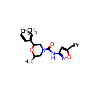 C/C=C\C(=C/C)C1CN(C(=O)Nc2cc(C(C)C)on2)CC(C)O1